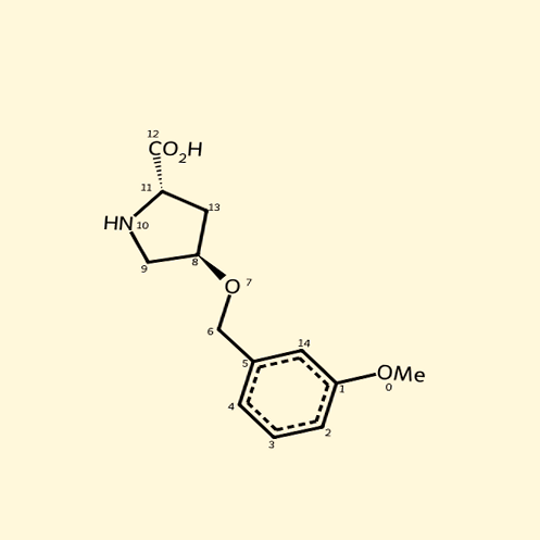 COc1cccc(CO[C@H]2CN[C@H](C(=O)O)C2)c1